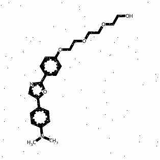 CN(C)c1ccc(-c2cnc(-c3ccc(OCCOCCOCCO)cc3)o2)cc1